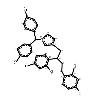 Clc1ccc(C(c2ccc(Cl)cc2)[n+]2ccn(CC(CCc3ccc(Cl)cc3Cl)c3ccc(Cl)cc3Cl)c2)cc1